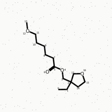 CCC1(COC(=O)CCCCCOC)CCOC1